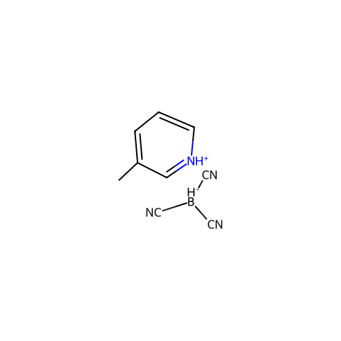 Cc1ccc[nH+]c1.N#C[BH-](C#N)C#N